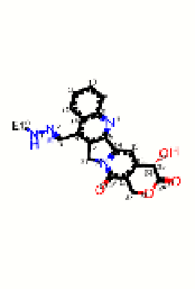 CCN/N=C/c1c2c(nc3ccccc13)-c1cc3c(c(=O)n1C2)COC(=O)[C@H]3O